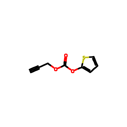 C#CCOC(=O)Oc1cccs1